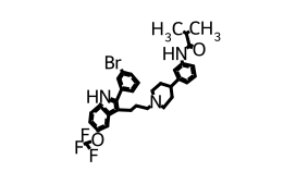 CC(C)C(=O)Nc1cccc(C2CCN(CCCc3c(-c4cccc(Br)c4)[nH]c4ccc(OC(F)(F)F)cc34)CC2)c1